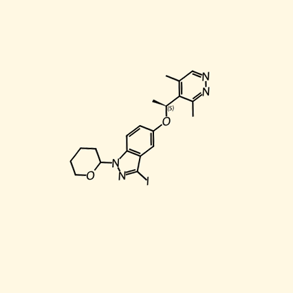 Cc1cnnc(C)c1[C@H](C)Oc1ccc2c(c1)c(I)nn2C1CCCCO1